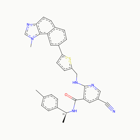 Cc1ccc([C@H](C)NC(=O)c2cc(C#N)cnc2NCc2ccc(-c3ccc4ccc5ncn(C)c5c4c3)s2)cc1